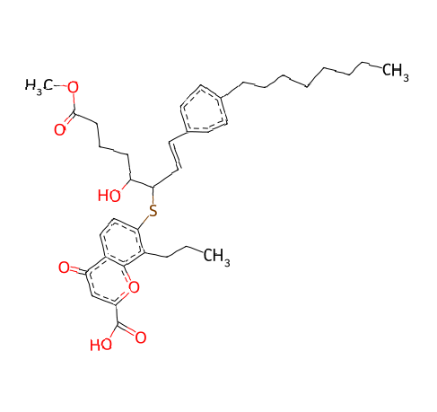 CCCCCCCCc1ccc(/C=C/C(Sc2ccc3c(=O)cc(C(=O)O)oc3c2CCC)C(O)CCCC(=O)OC)cc1